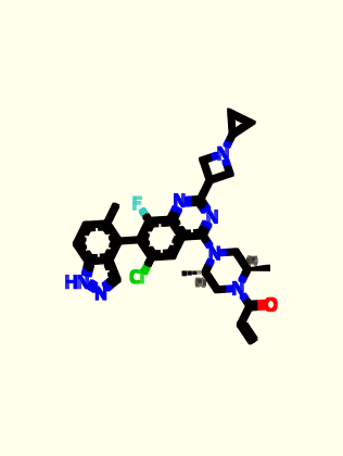 C=CC(=O)N1C[C@H](C)N(c2nc(C3CN(C4CC4)C3)nc3c(F)c(-c4c(C)ccc5[nH]ncc45)c(Cl)cc23)C[C@H]1C